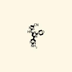 N#Cc1cnc(Nc2cc(-c3cnc(N)nc3)nc(N3CCOCC3)n2)s1